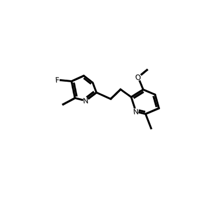 COc1ccc(C)nc1CCc1ccc(F)c(C)n1